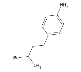 CCC(C)C(C)CCc1ccc(N)cc1